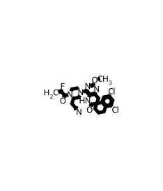 C=C(F)C(=O)N1CCN(c2nc(OC)nc3c2NC(=O)C2(CCCc4c(Cl)cc(Cl)cc42)C3)CC1CC#N